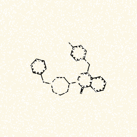 O=c1c2ccccc2c(Cc2ccc(Cl)cc2)nn1C1CCCN(Cc2ccccc2)CC1